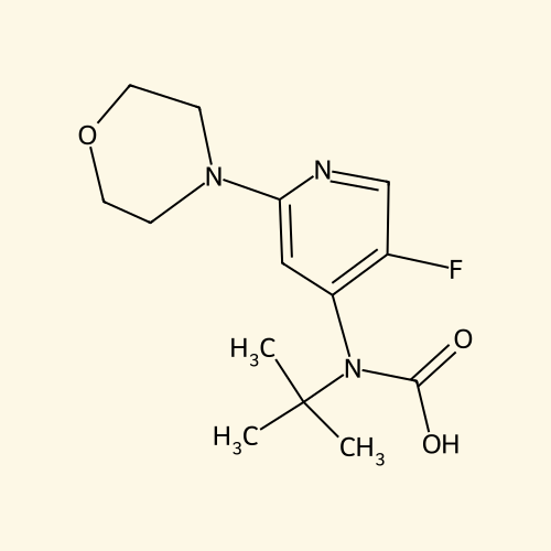 CC(C)(C)N(C(=O)O)c1cc(N2CCOCC2)ncc1F